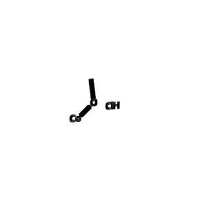 C[O][Co].Cl